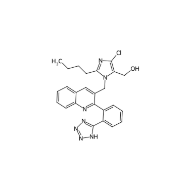 CCCCc1nc(Cl)c(CO)n1Cc1cc2ccccc2nc1-c1ccccc1-c1nnn[nH]1